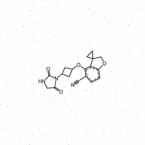 N#Cc1ccc2c(c1OC1CC(N3C(=O)CNC3=O)C1)C1(CC1)CO2